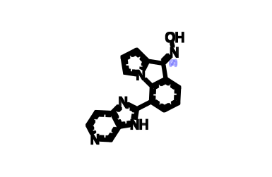 O/N=C1/c2cccc(-c3nc4ccncc4[nH]3)c2-n2cccc21